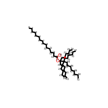 CCCCCCCCCCCCCCCC(=O)OC(CCCCCC)(CCCCCC)C(CCCCCC)(CCCCCC)CCCCCCCC